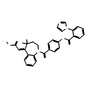 CC(C)NC(=O)C=C1c2ccccc2N(C(=O)c2ccc(NC(=O)c3ccccc3-n3ccnc3)cc2)CCC1(F)F